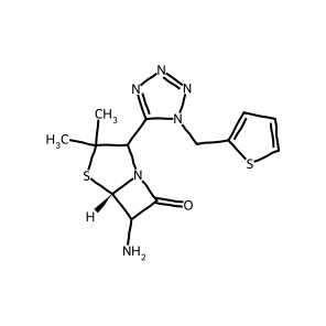 CC1(C)S[C@H]2C(N)C(=O)N2C1c1nnnn1Cc1cccs1